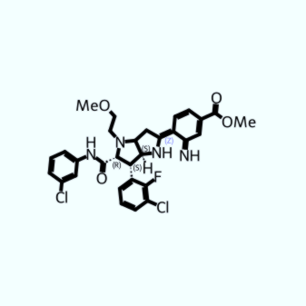 COCCN1C2C/C(=C3\C=CC(C(=O)OC)=CC3=N)N[C@H]2[C@H](c2cccc(Cl)c2F)[C@@H]1C(=O)Nc1cccc(Cl)c1